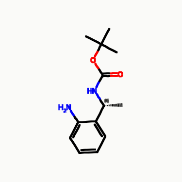 C[C@@H](NC(=O)OC(C)(C)C)c1ccccc1N